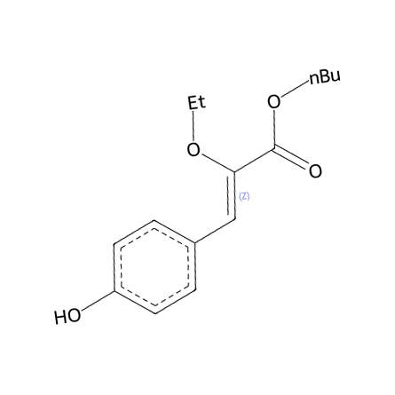 CCCCOC(=O)/C(=C/c1ccc(O)cc1)OCC